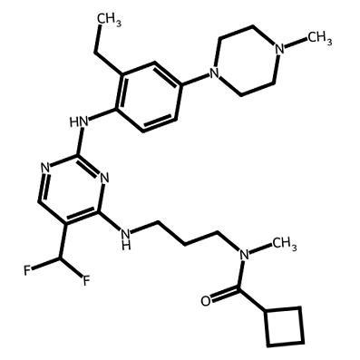 CCc1cc(N2CCN(C)CC2)ccc1Nc1ncc(C(F)F)c(NCCCN(C)C(=O)C2CCC2)n1